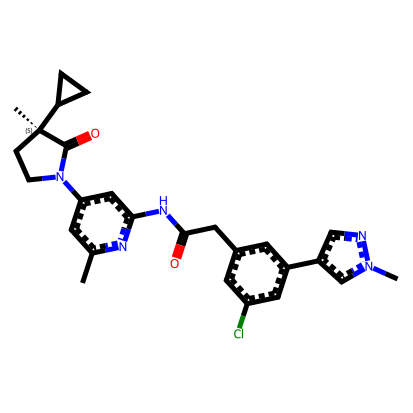 Cc1cc(N2CC[C@@](C)(C3CC3)C2=O)cc(NC(=O)Cc2cc(Cl)cc(-c3cnn(C)c3)c2)n1